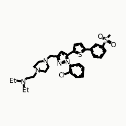 CCN(CC)CCN1CCN(Cc2cc(-c3ccc(-c4cccc(S(C)(=O)=O)c4)s3)n(-c3ccccc3Cl)n2)CC1